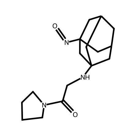 O=NC12CC3CC(C1)CC(NCC(=O)N1CCCC1)(C3)C2